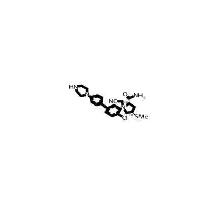 CS[C@H]1C[C@@H](C(N)=O)[N+](CC#N)(c2cc(-c3ccc(N4CCNCC4)cc3)ccc2Cl)C1